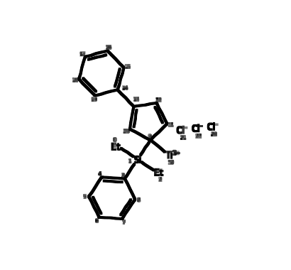 CC[Si](CC)(c1ccccc1)[C]1([Ti+3])C=CC(c2ccccc2)=C1.[Cl-].[Cl-].[Cl-]